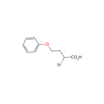 O=C(O)C(Br)CCOc1ccccc1